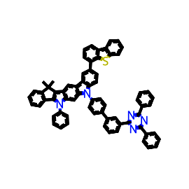 CC1(C)c2ccccc2-c2c1c1cc3c4cc(-c5cccc6c5sc5ccccc56)ccc4n(-c4ccc(-c5cccc(-c6nc(-c7ccccc7)nc(-c7ccccc7)n6)c5)cc4)c3cc1n2-c1ccccc1